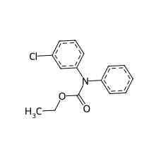 CCOC(=O)N(c1ccccc1)c1cccc(Cl)c1